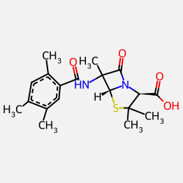 Cc1cc(C)c(C(=O)NC2(C)C(=O)N3[C@@H](C(=O)O)C(C)(C)S[C@@H]32)cc1C